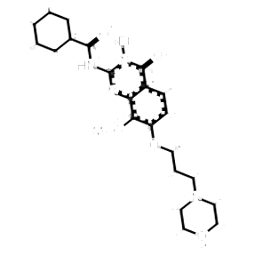 CCn1c(NC(=O)C2CCCCC2)nc2c(OC)c(OCCCN3CCOCC3)ccc2c1=O